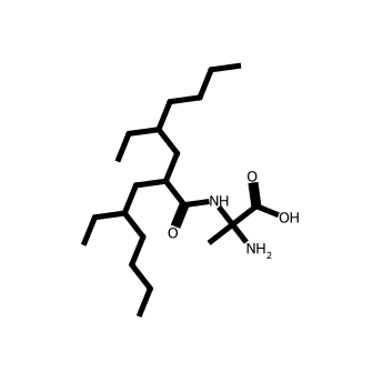 CCCCC(CC)CC(CC(CC)CCCC)C(=O)NC(C)(N)C(=O)O